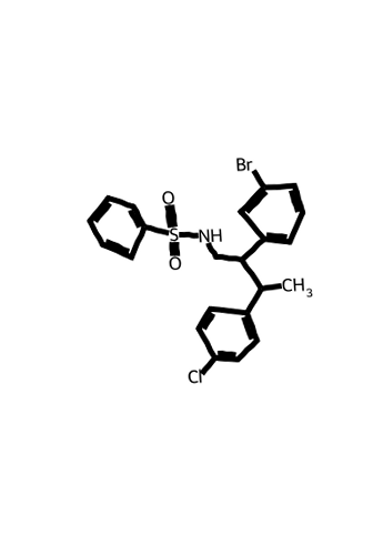 CC(c1ccc(Cl)cc1)C(CNS(=O)(=O)c1ccccc1)c1cccc(Br)c1